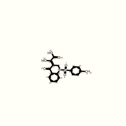 Cc1ccc(S(=O)(=O)N2CC(=C(O)C(=O)O)C(=O)c3ccccc32)cc1